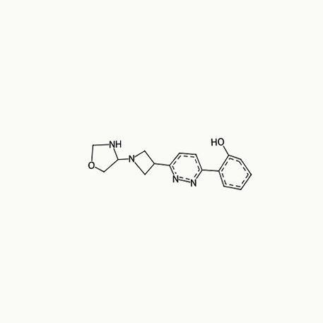 Oc1ccccc1-c1ccc(C2CN(C3COCN3)C2)nn1